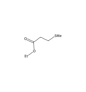 [CH2]SCCC(=O)OCC